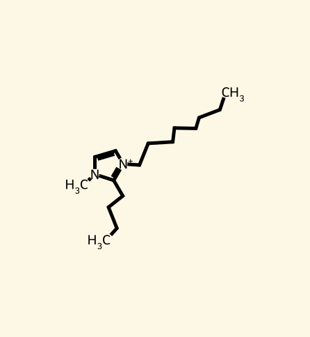 CCCCCCCC[n+]1ccn(C)c1CCCC